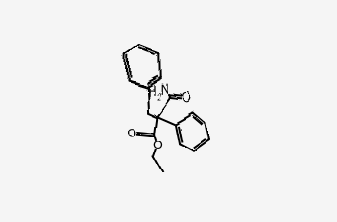 CCOC(=O)C(Cc1ccccc1)(C(N)=O)c1ccccc1